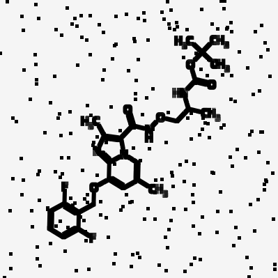 Cc1cc(OCc2c(F)cccc2F)c2nc(C)c(C(=O)NOCC(C)NC(=O)OC(C)(C)C)n2c1